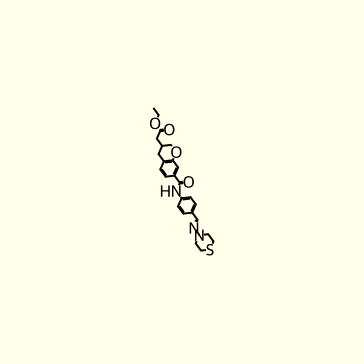 CCOC(=O)CC1COc2cc(C(=O)Nc3ccc(C=NN4CCSCC4)cc3)ccc2C1